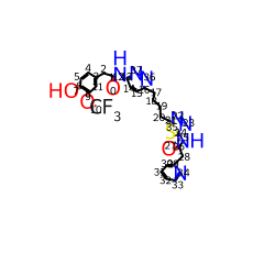 O=C(Cc1ccc(O)c(OC(F)(F)F)c1)Nc1ccc(CCCCc2nnc(NC(=O)Cc3ccccn3)s2)nn1